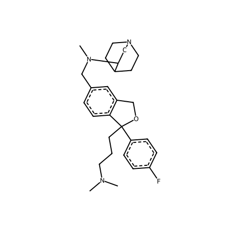 CN(C)CCCC1(c2ccc(F)cc2)OCc2cc(CN(C)C3CN4CCC3CC4)ccc21